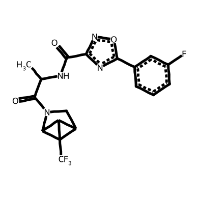 CC(NC(=O)c1noc(-c2cccc(F)c2)n1)C(=O)N1CC2C3C1C23C(F)(F)F